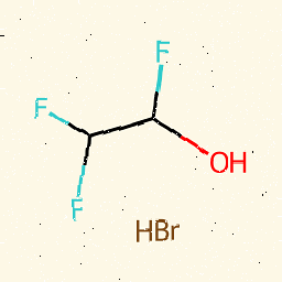 Br.OC(F)C(F)F